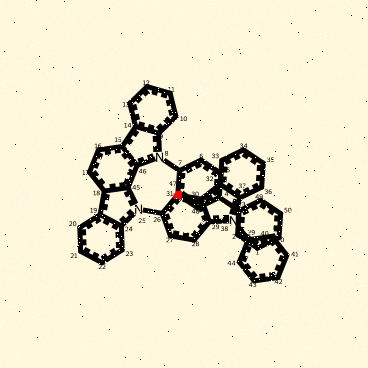 c1ccc(-c2ccc(-n3c4ccccc4c4ccc5c6ccccc6n(-c6ccc7c(c6)c6ccccc6n7-c6ccccc6)c5c43)cc2)cc1